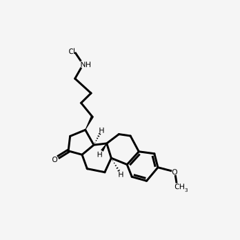 COc1ccc2c(c1)CC[C@H]1[C@H]3C(CC[C@H]21)C(=O)C[C@H]3CCCCNCl